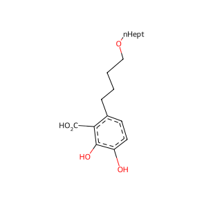 CCCCCCCOCCCCc1ccc(O)c(O)c1C(=O)O